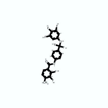 Cc1ccc(C(=O)Oc2ccc(C(F)(F)Oc3cc(F)c(F)c(F)c3)cc2)c(F)c1F